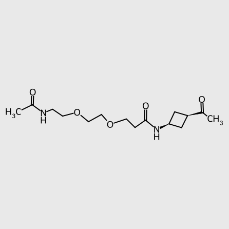 CC(=O)NCCOCCOCCC(=O)N[C@H]1C[C@@H](C(C)=O)C1